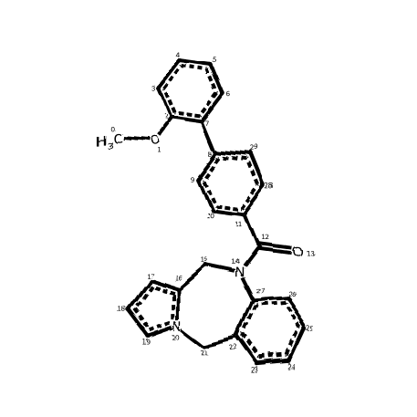 COc1ccccc1-c1ccc(C(=O)N2Cc3cccn3Cc3ccccc32)cc1